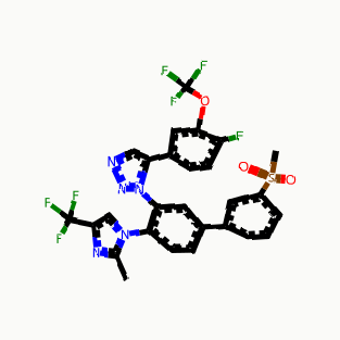 Cc1nc(C(F)(F)F)cn1-c1ccc(-c2cccc(S(C)(=O)=O)c2)cc1-n1nncc1-c1ccc(F)c(OC(F)(F)F)c1